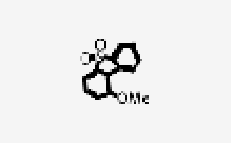 COc1cccc2c1-c1ccccc1S2(=O)=O